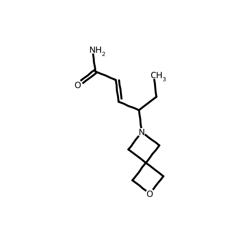 CCC(C=CC(N)=O)N1CC2(COC2)C1